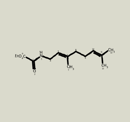 CCOC(=O)C(=O)NC/C=C(\C)CCC=C(C)C